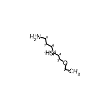 CCOCC[SiH]CCCN